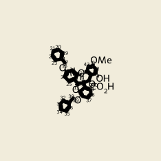 COc1cc(O)c(C(=O)C(F)(C(=O)c2ccc(OCc3ccccc3)cc2)c2cc(OCc3ccccc3)ccc2C(=O)O)c(OC)c1